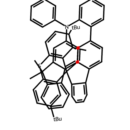 CC1C2=C(C=CC1C(C)(C)C)Sc1ccc(C(C)(C)C)cc1C21c2ccccc2-c2ccc(-c3ccccc3N(c3ccccc3)c3ccc4c(c3)C(C)(C)c3ccccc3-4)cc21